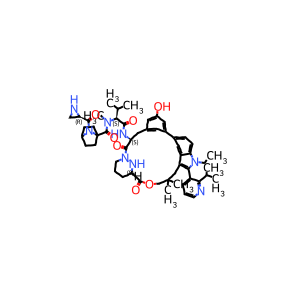 CCn1c(-c2cccnc2C(C)C)c2c3cc(ccc31)-c1cc(O)cc(c1)C[C@H](NC(=O)[C@H](C(C)C)N(C)C(=O)C13CCC(CC1)N3C(=O)[C@H]1CN1)C(=O)N1CCC[C@H](N1)C(=O)OCC(C)(C)C2